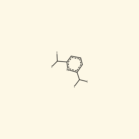 IC(I)c1cccc(C(I)I)n1